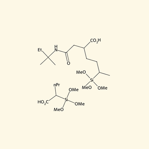 CCC(C)(C)NC(=O)CC(CCC(C)[Si](OC)(OC)OC)C(=O)O.CCCC(C(=O)O)[Si](OC)(OC)OC